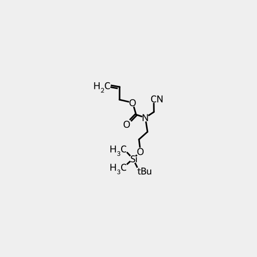 C=CCOC(=O)N(CC#N)CCO[Si](C)(C)C(C)(C)C